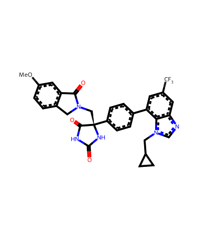 COc1ccc2c(c1)C(=O)N(C[C@@]1(c3ccc(-c4cc(C(F)(F)F)cc5ncn(CC6CC6)c45)cc3)NC(=O)NC1=O)C2